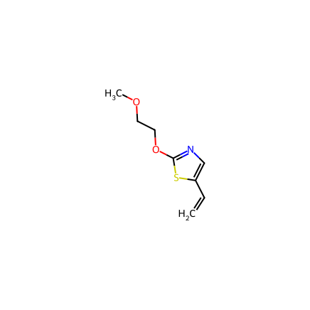 C=Cc1cnc(OCCOC)s1